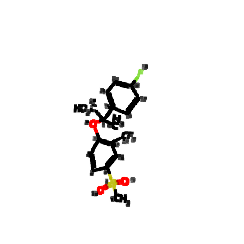 CC(Oc1ccc(S(C)(=O)=O)cc1C(F)(F)F)(C(=O)O)c1ccc(F)cc1